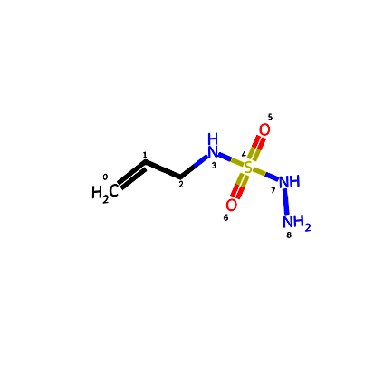 C=CCNS(=O)(=O)NN